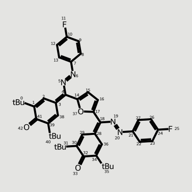 CC(C)(C)C1=CC(=C(/N=N/c2ccc(F)cc2)c2ccc(C(/N=N/c3ccc(F)cc3)=C3C=C(C(C)(C)C)C(=O)C(C(C)(C)C)=C3)o2)C=C(C(C)(C)C)C1=O